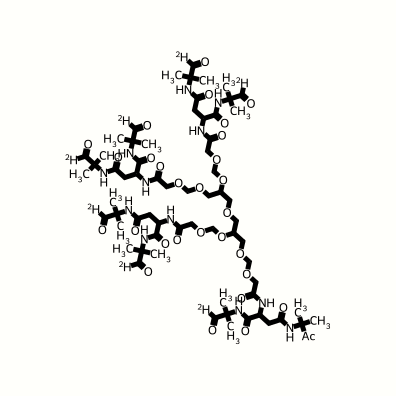 [2H]C(=O)C(C)(C)NC(=O)CC(NC(=O)COCOCC(COCC(COCOCC(=O)NC(CC(=O)NC(C)(C)C(C)=O)C(=O)NC(C)(C)C([2H])=O)OCOCC(=O)NC(CC(=O)NC(C)(C)C([2H])=O)C(=O)NC(C)(C)C([2H])=O)OCOCC(=O)NC(CC(=O)NC(C)(C)C([2H])=O)C(=O)NC(C)(C)C([2H])=O)C(=O)NC(C)(C)C([2H])=O